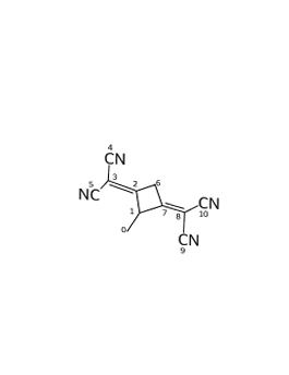 CC1C(=C(C#N)C#N)CC1=C(C#N)C#N